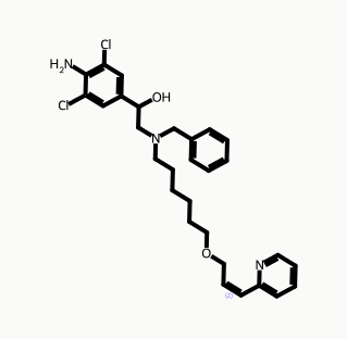 Nc1c(Cl)cc(C(O)CN(CCCCCCOC/C=C\c2ccccn2)Cc2ccccc2)cc1Cl